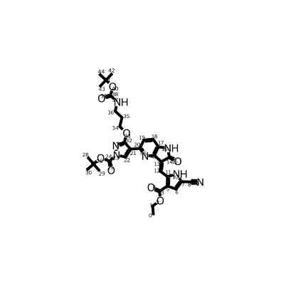 CCOC(=O)c1cc(C#N)[nH]c1/C=C1\C(=O)Nc2ccc(-c3cn(C(=O)OC(C)(C)C)nc3OCCCNC(=O)OC(C)(C)C)nc21